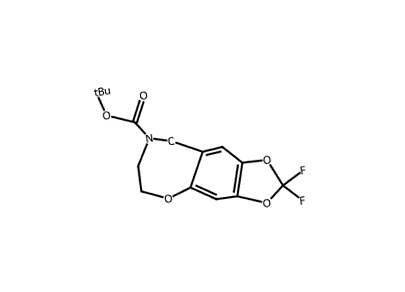 CC(C)(C)OC(=O)N1CCOc2cc3c(cc2C1)OC(F)(F)O3